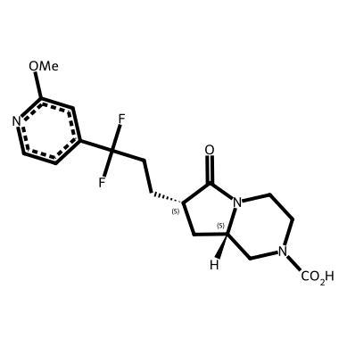 COc1cc(C(F)(F)CC[C@H]2C[C@H]3CN(C(=O)O)CCN3C2=O)ccn1